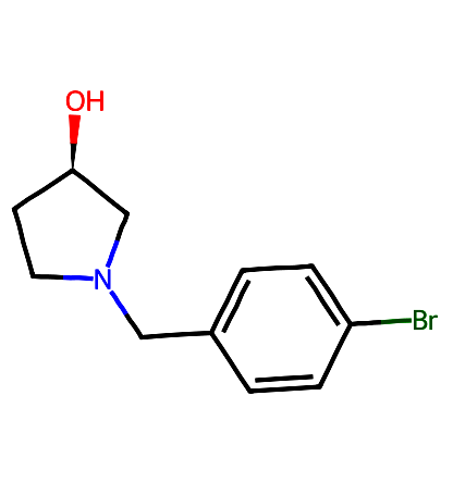 O[C@@H]1CCN(Cc2ccc(Br)cc2)C1